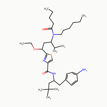 CCCCCCN(C(=O)CCCC)C(CC(OCC)c1nc(C(=O)NC(Cc2ccc(N)cc2)CC(C)(C)C)cs1)C(C)C